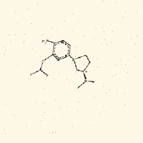 CN(C)[C@@H]1CCN(c2ccc(N)c(OC(F)F)c2)C1